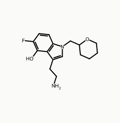 NCCc1cn(CC2CCCCO2)c2ccc(F)c(O)c12